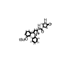 CC(C)(C)Oc1cccc(-c2cc(NC(=O)[C@@H]3CNC(=O)C3)nn2-c2ccccc2)c1